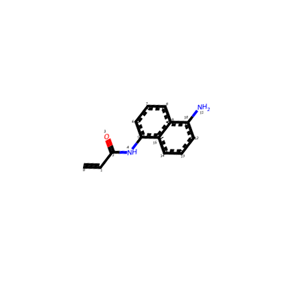 C=CC(=O)Nc1cccc2c(N)cccc12